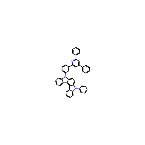 c1ccc(-c2cc(-c3ccccc3)nc(-c3cccc(-n4c5ccccc5c5c6c7ccccc7n(-c7ccccc7)c6ccc54)c3)c2)cc1